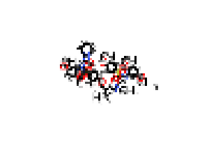 CCC(CCN(C)C(=O)CN(c1cc(OC)ccc1OC)S(=O)(=O)c1ccc(OC)cc1)COc1ccc(S(=O)(=O)N(CC(=O)N2CCCCCC2)c2cc(OC)ccc2OC)cc1